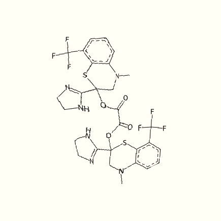 CN1CC(OC(=O)C(=O)OC2(C3=NCCN3)CN(C)c3cccc(C(F)(F)F)c3S2)(C2=NCCN2)Sc2c1cccc2C(F)(F)F